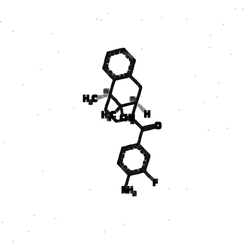 CC1(C)[C@H]2Cc3ccccc3[C@]1(C)CCN2C(=O)c1ccc(N)c(F)c1